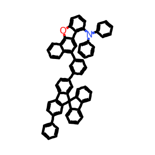 c1ccc(-c2ccc3c(c2)C2(c4ccccc4-c4ccccc42)c2cc(-c4cccc(-c5cc6c(oc7cccc(N(c8ccccc8)c8ccccc8)c76)c6ccccc56)c4)ccc2-3)cc1